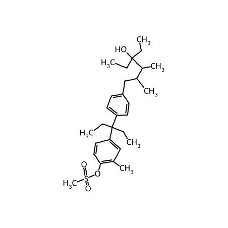 CCC(CC)(c1ccc(CC(C)C(C)C(O)(CC)CC)cc1)c1ccc(OS(C)(=O)=O)c(C)c1